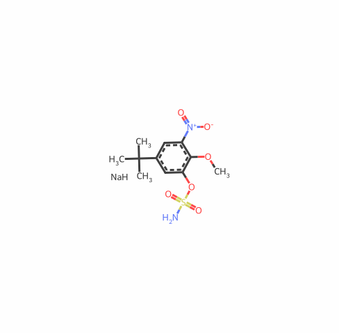 COc1c(OS(N)(=O)=O)cc(C(C)(C)C)cc1[N+](=O)[O-].[NaH]